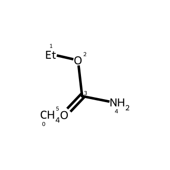 C.CCOC(N)=O